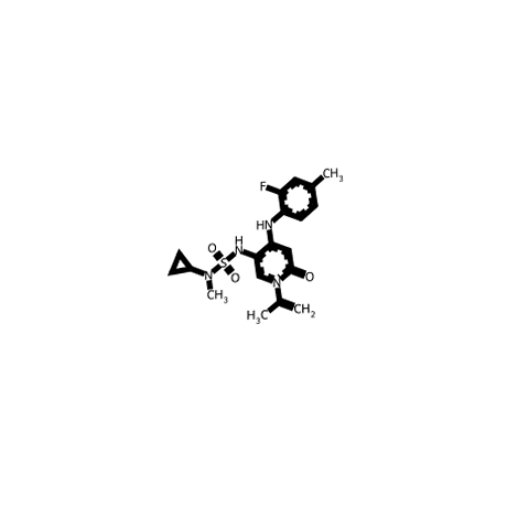 C=C(C)n1cc(NS(=O)(=O)N(C)C2CC2)c(Nc2ccc(C)cc2F)cc1=O